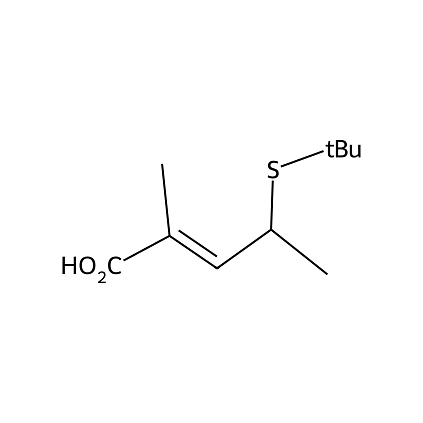 C/C(=C\C(C)SC(C)(C)C)C(=O)O